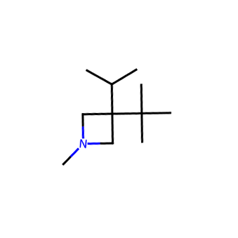 CC(C)C1(C(C)(C)C)CN(C)C1